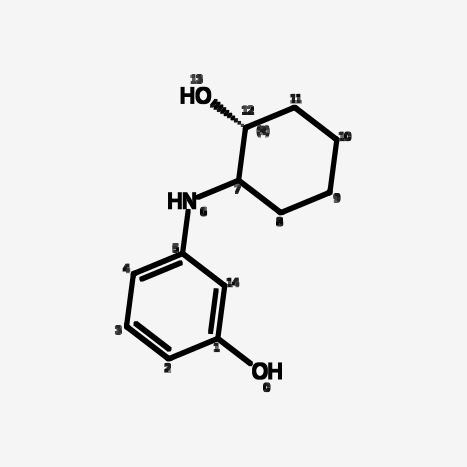 Oc1cccc(NC2CCCC[C@H]2O)c1